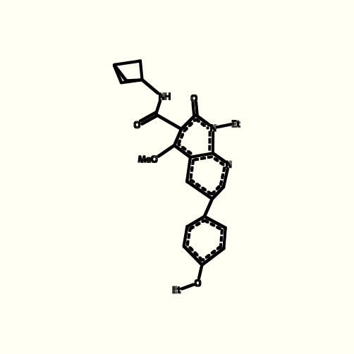 CCOc1ccc(-c2cnc3c(c2)c(OC)c(C(=O)NC24CC(C2)C4)c(=O)n3CC)cc1